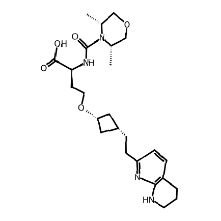 C[C@@H]1COC[C@H](C)N1C(=O)N[C@@H](CCO[C@H]1C[C@@H](CCc2ccc3c(n2)NCCC3)C1)C(=O)O